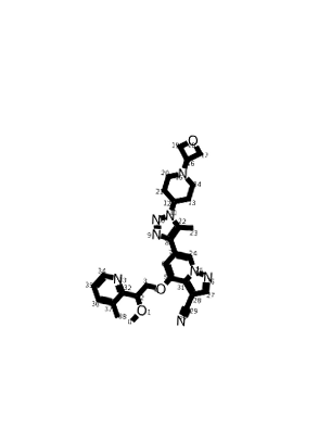 COC(COc1cc(-c2nnn(C3CCN(C4COC4)CC3)c2C)cn2ncc(C#N)c12)c1ncccc1C